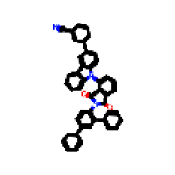 N#Cc1cccc(-c2ccc3c(c2)c2ccccc2n3-c2cccc3c2C(=O)N(c2ccc(-c4ccccc4)cc2-c2ccccc2)C3=O)c1